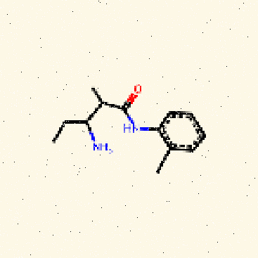 CCC(N)C(C)C(=O)Nc1ccccc1C